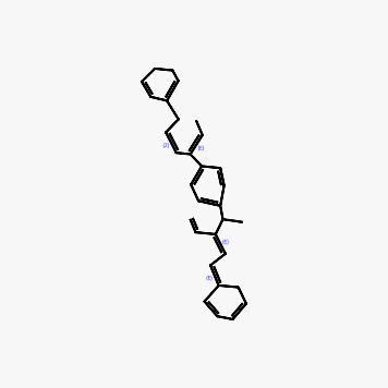 C=C/C(=C\C=C1\C=CC=CC1)C(C)c1ccc(C(/C=C\CC2=CCCC=C2)=C/C)cc1